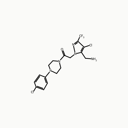 NCc1c(Cl)c(C(F)(F)F)nn1CC(=O)N1CCN(c2ccc(Cl)cc2)CC1